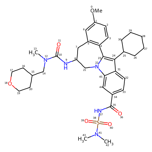 COc1ccc2c(c1)CC(NC(=O)N(C)CC1CCOCC1)Cn1c-2c(C2CCCCC2)c2ccc(C(=O)NS(=O)(=O)N(C)C)cc21